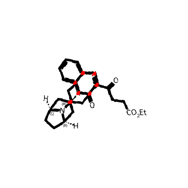 CCOC(=O)CCC(=O)c1nc2ccccc2n([C@H]2C[C@H]3CC[C@@H](C2)N3C2CC3CCCC(C3)C2)c1=O